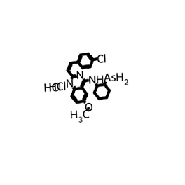 COc1ccc2nc(/C=C\c3ccc(Cl)cc3)nc(NC3CCCCC3[AsH2])c2c1.Cl.Cl